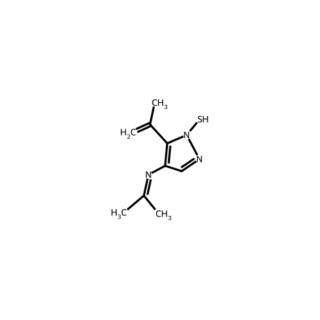 C=C(C)c1c(N=C(C)C)cnn1S